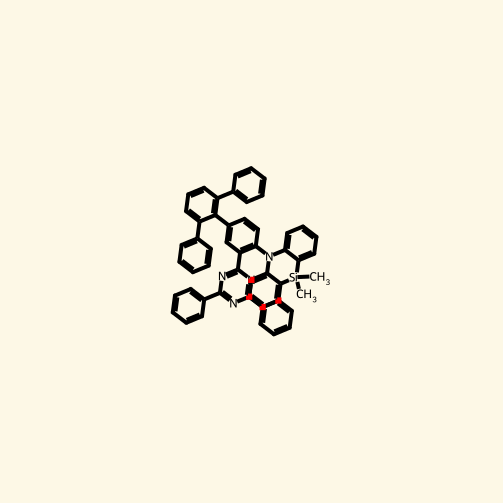 C[Si]1(C)c2ccccc2N(c2ccc(-c3c(-c4ccccc4)cccc3-c3ccccc3)cc2-c2nc(-c3ccccc3)nc(-c3ccccc3)n2)c2ccccc21